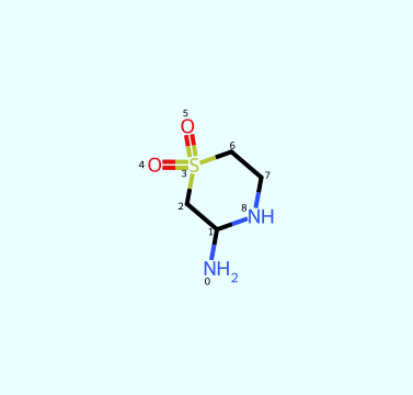 NC1CS(=O)(=O)CCN1